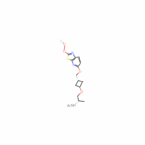 CC(=O)N[C@@H](C)CO[C@H]1C[C@H](COc2ccc3nc(OOF)sc3n2)C1